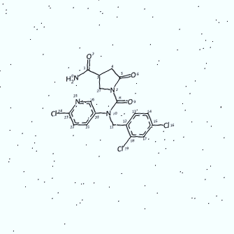 NC(=O)C1CC(=O)N(C(=O)N(Cc2ccc(Cl)cc2Cl)c2ccc(Cl)nc2)C1